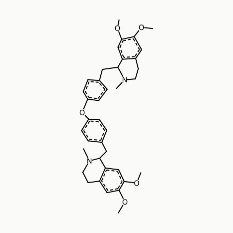 COc1cc2c(cc1OC)C(Cc1ccc(Oc3ccc(CC4c5cc(OC)c(OC)cc5CCN4C)cc3)cc1)N(C)CC2